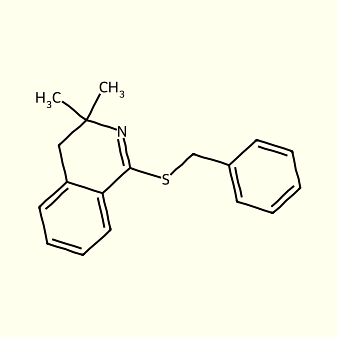 CC1(C)Cc2ccccc2C(SCc2ccccc2)=N1